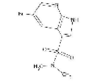 CN(C)S(=O)(=O)c1c[nH]c2ncc(Br)cc12